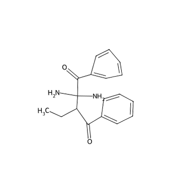 CCC(C(=O)c1ccccc1)C(N)(N)C(=O)c1ccccc1